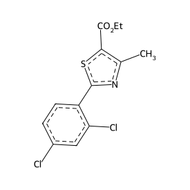 CCOC(=O)c1sc(-c2ccc(Cl)cc2Cl)nc1C